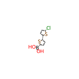 OB(O)c1ccc(-c2ccc(Cl)s2)s1